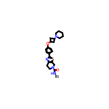 CCNC(=O)N1CCc2nc(-c3ccc(OC4CC(N5CCCCC5)C4)cc3)sc2C1